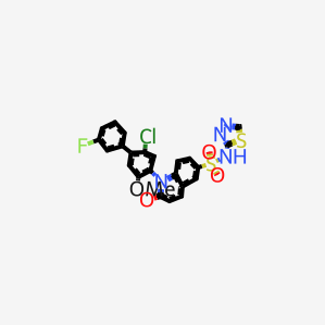 COc1cc(-c2cccc(F)c2)c(Cl)cc1-n1c(=O)ccc2cc(S(=O)(=O)Nc3nncs3)ccc21